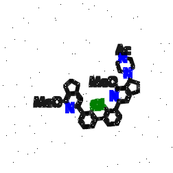 COc1nc(-c2cccc(-c3cccc(-c4cc5c(c(OC)n4)C(N4CCN(C(C)=O)CC4)CC5)c3Cl)c2Cl)cc2c1CCC2